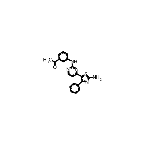 CC(=O)c1cccc(Nc2nccc(-c3sc(N)nc3-c3ccccc3)n2)c1